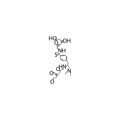 CCN(CC)CC(Cc1ccc(C(=S)NC[C@@H]2C[C@H](O)CC(O)O2)cc1)NCC(=O)C[C@@H](C=O)CC=O